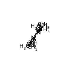 CN(C(=O)OC(C)(C)C)c1cnc(C#C/C=C/c2nc3ccc(NC(=O)OC(C)(C)C)cc3s2)cn1